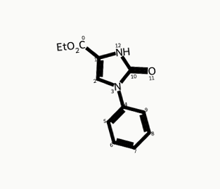 CCOC(=O)c1cn(-c2ccccc2)c(=O)[nH]1